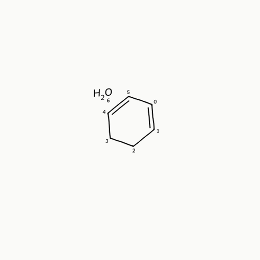 C1=CCCC=C1.O